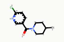 CCC1CCN(C(=O)c2ccc(Cl)nc2)CC1